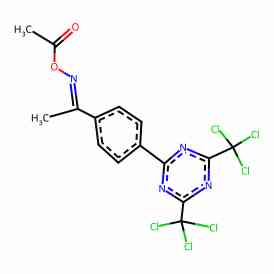 CC(=O)O/N=C(\C)c1ccc(-c2nc(C(Cl)(Cl)Cl)nc(C(Cl)(Cl)Cl)n2)cc1